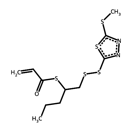 C=CC(=O)SC(CCC)CSSc1nnc(SC)s1